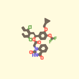 C=C/C(Cl)=C(C[C@H](OC(=O)Cn1c(=O)[nH]c(=O)c2ccccc21)c1ccc(OC(F)F)c(OCC2CC2)c1)\C(Cl)=C/C